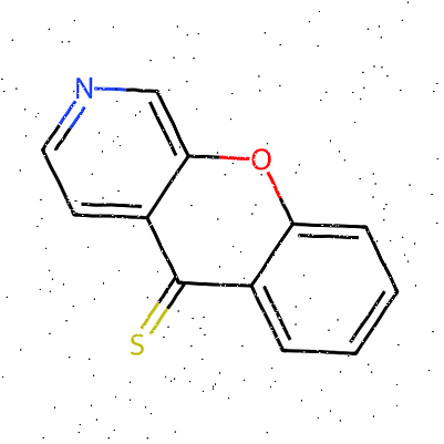 S=c1c2ccccc2oc2cnccc12